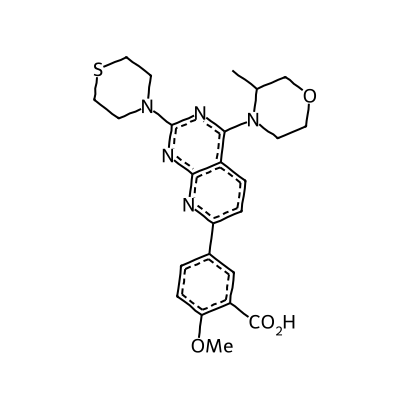 COc1ccc(-c2ccc3c(N4CCOCC4C)nc(N4CCSCC4)nc3n2)cc1C(=O)O